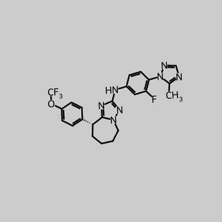 Cc1ncnn1-c1ccc(Nc2nc3n(n2)CCCC[C@@H]3c2ccc(OC(F)(F)F)cc2)cc1F